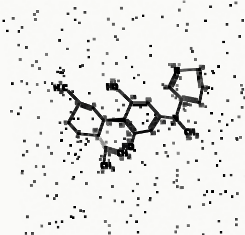 C=C(C)[C@@H]1CCC(C)=C[C@H]1c1c(O)cc(N(C)c2cccnc2)cc1O